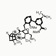 CNC(=O)c1cc(-c2cccc(CN3O[C@@H](CN)[C@@H]([C@H](C)O)[C@H]3C(=O)N[C@H]3C[C@H]4C[C@@H]([C@@H]3C)C4(C)C)c2OC)cc(N(C)C)c1